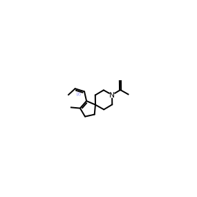 C=C(C)N1CCC2(CCC(C)=C2/C=C\C)CC1